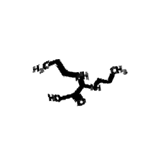 CCCNC(NCCC)C(=O)O